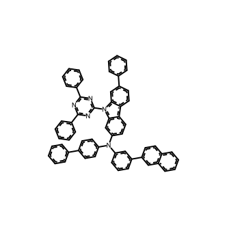 c1ccc(-c2ccc(N(c3cccc(-c4ccc5ccccc5c4)c3)c3ccc4c5ccc(-c6ccccc6)cc5n(-c5nc(-c6ccccc6)nc(-c6ccccc6)n5)c4c3)cc2)cc1